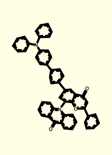 O=c1cc(-c2ccccc2)oc2c(-n3c4ccccc4c(=O)c4ccccc43)cc(-c3ccc(-c4ccc(N(c5ccccc5)c5ccccc5)cc4)cc3)cc12